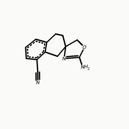 N#Cc1cccc2c1CC1(CC2)COC(N)=N1